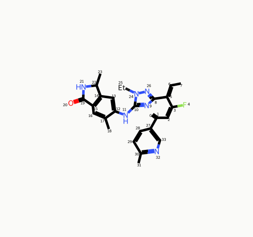 C=C(/C=C(F)\C(=C/C)c1nc(Nc2cc3c(cc2C)C(=O)NC3C)n(CC)n1)c1ccc(C)nc1